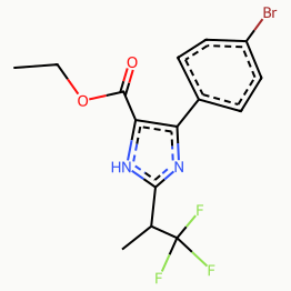 CCOC(=O)c1[nH]c(C(C)C(F)(F)F)nc1-c1ccc(Br)cc1